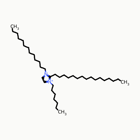 CCCCCCCCCCCCCCCCc1n(CCCCCCCCCCCCC)cc[n+]1CCCCCCC